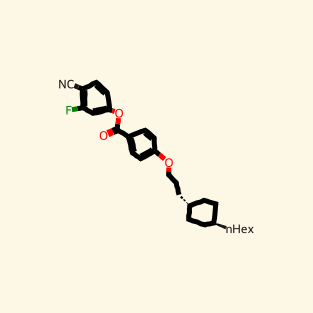 CCCCCC[C@H]1CC[C@H](CCCOc2ccc(C(=O)Oc3ccc(C#N)c(F)c3)cc2)CC1